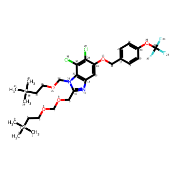 C[Si](C)(C)CCOCOCc1nc2cc(OCc3ccc(OC(F)(F)F)cc3)c(Cl)c(Cl)c2n1COCC[Si](C)(C)C